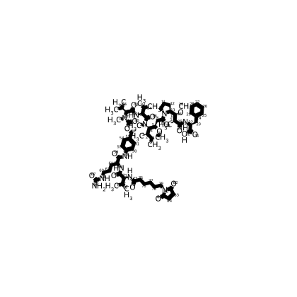 CC[C@H](C)[C@@H]([C@@H](CC(=O)N1CCC[C@H]1[C@H](OC)[C@@H](C)C(=O)N[C@@H](Cc1ccccc1)C(=O)O)OC)N(C)C(=O)[C@@H](NC(=O)[C@H](C(C)C)N(C)C(=O)OCc1ccc(NC(=O)C(CCCNC(N)=O)NC(=O)[C@@H](NC(=O)CCCCCN2C(=O)C=CC2=O)C(C)C)cc1)C(C)C